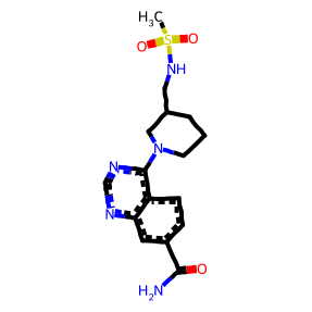 CS(=O)(=O)NCC1CCCN(c2ncnc3cc(C(N)=O)ccc23)C1